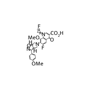 COc1ccc(C2=NO[C@H]3CN(c4c(F)cc5c(=O)c(C(=O)O)cn([C@@H]6C[C@@H]6F)c5c4OC)C[C@@H]23)cc1